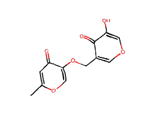 Cc1cc(=O)c(OCc2cocc(O)c2=O)co1